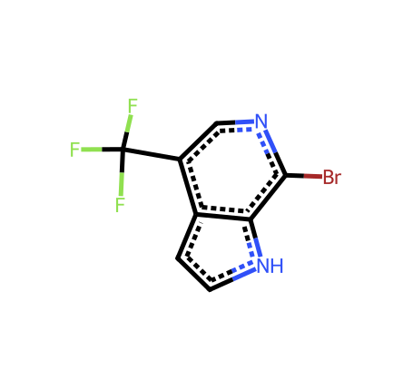 FC(F)(F)c1cnc(Br)c2[nH]ccc12